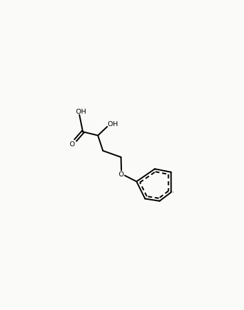 O=C(O)C(O)CCOc1cc[c]cc1